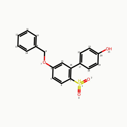 O=[SH](=O)c1ccc(OCc2ccccc2)cc1-c1ccc(O)cc1